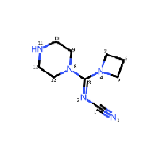 N#C/N=C(\N1CCC1)N1CCNCC1